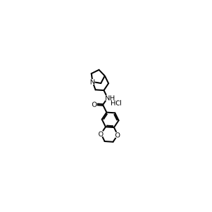 Cl.O=C(NC1CC2CCN(C2)C1)c1ccc2c(c1)OCCO2